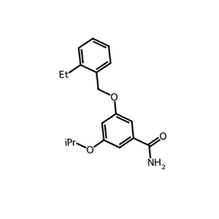 CCc1ccccc1COc1cc(OC(C)C)cc(C(N)=O)c1